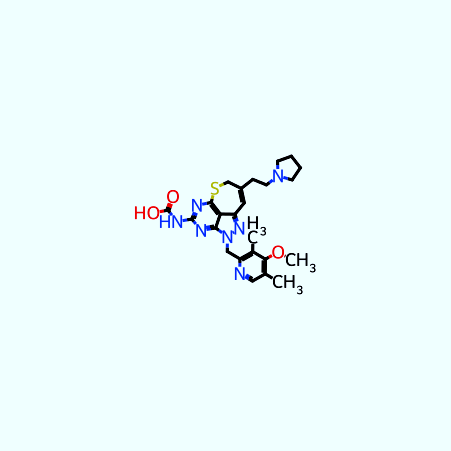 COc1c(C)cnc(Cn2nc3c4c(nc(NC(=O)O)nc42)SCC(CCN2CCCC2)=C3)c1C